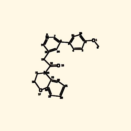 COc1ccc(-c2cncc(CC(=O)N3CCOc4ccccc43)c2)cc1